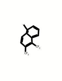 [CH2]c1cccc2c(C(F)(F)F)c(C(F)(F)F)ccc12